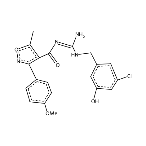 COc1ccc(-c2noc(C)c2C(=O)/N=C(/N)NCc2cc(O)cc(Cl)c2)cc1